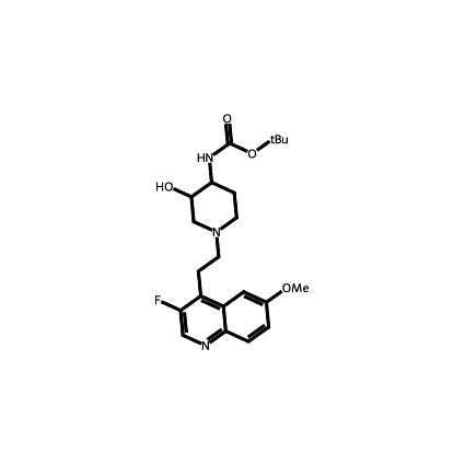 COc1ccc2ncc(F)c(CCN3CCC(NC(=O)OC(C)(C)C)C(O)C3)c2c1